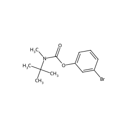 CN(C(=O)Oc1cccc(Br)c1)C(C)(C)C